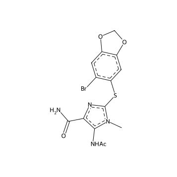 CC(=O)Nc1c(C(N)=O)nc(Sc2cc3c(cc2Br)OCO3)n1C